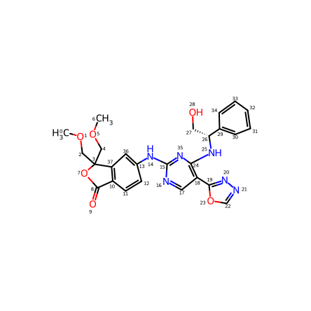 COCC1(COC)OC(=O)c2ccc(Nc3ncc(-c4nnco4)c(N[C@H](CO)c4ccccc4)n3)cc21